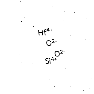 [Hf+4].[O-2].[O-2].[Si+4]